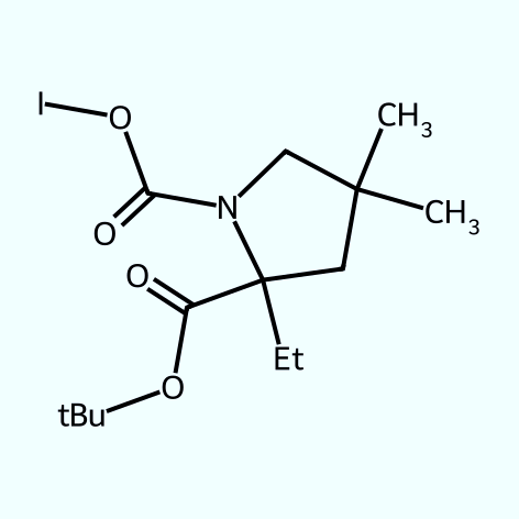 CCC1(C(=O)OC(C)(C)C)CC(C)(C)CN1C(=O)OI